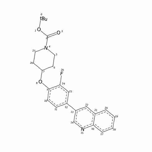 CC(C)(C)OC(=O)N1CCC(Oc2ccc(-c3cnc4ccccc4c3)cc2F)CC1